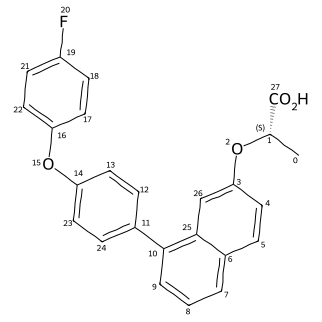 C[C@H](Oc1ccc2cccc(-c3ccc(Oc4ccc(F)cc4)cc3)c2c1)C(=O)O